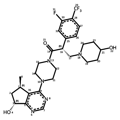 C[C@@H]1C[C@@H](O)c2ncnc(N3CCN(C(=O)[C@@H](CN4CCC(O)CC4)c4ccc(C(F)(F)F)c(F)c4)CC3)c21